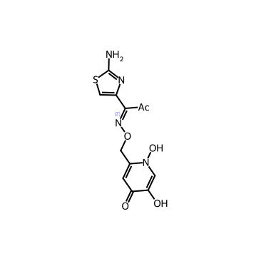 CC(=O)/C(=N\OCc1cc(=O)c(O)cn1O)c1csc(N)n1